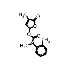 CC1=CC(OC(=O)N(C)c2ccccc2C)OC1=O